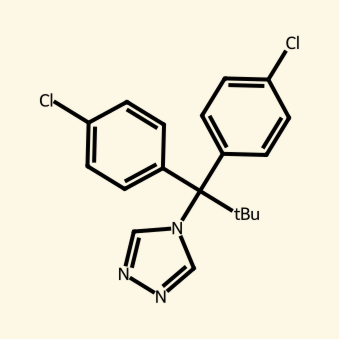 CC(C)(C)C(c1ccc(Cl)cc1)(c1ccc(Cl)cc1)n1cnnc1